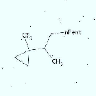 CCCCCCC(C)C1(C(F)(F)F)CC1